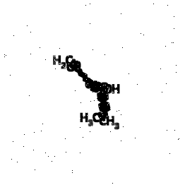 C=CC(=O)OCCCCCCOc1ccc(C(OO)c2ccc(-c3ccc(CC(C)CC)cc3)cc2)cc1